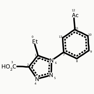 CCc1c(C(=O)O)nnn1-c1cccc(C(C)=O)c1